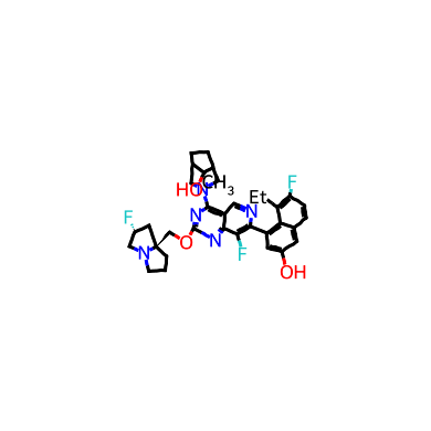 CCc1c(F)ccc2cc(O)cc(-c3ncc4c(N5CC6CCC(C5)C6(C)O)nc(OC[C@@]56CCCN5C[C@H](F)C6)nc4c3F)c12